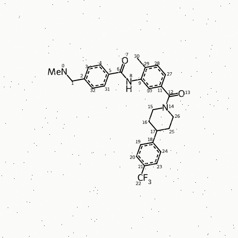 CNCc1ccc(C(=O)Nc2cc(C(=O)N3CCC(c4ccc(C(F)(F)F)cc4)CC3)ccc2C)cc1